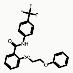 O=C(Nc1ccc(C(F)(F)F)cc1)c1ccccc1[Se]CCOc1ccccc1